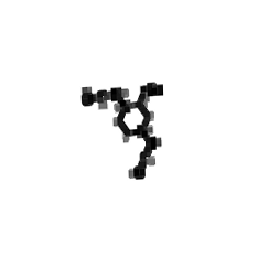 CCCCC1CN(N=C=O)CCN1N=C=O